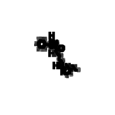 C=Nc1ccnc(NCCCNC(=O)c2cc(-c3ccccc3)[nH]n2)n1